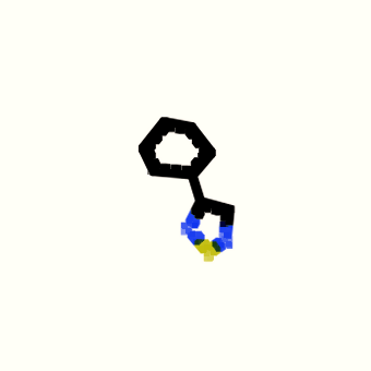 [c]1ccccc1-c1cnsn1